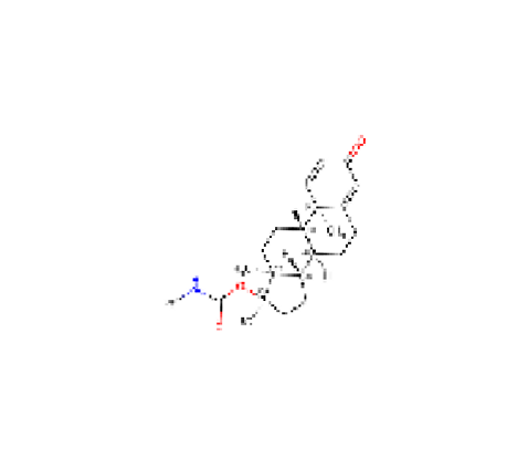 CC[C@@]1(OC(=O)NC(C)C)CC[C@H]2[C@@H]3CCC4=CC(=O)C=C[C@]4(C)[C@H]3CC[C@@]21C